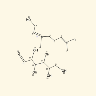 CC(C)=CCC/C(C)=C\CO.O=CC(O)C(O)C(O)C(O)CO